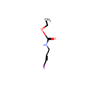 CCOC(=O)NCC=CI